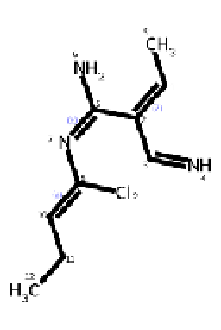 C\C=C(C=N)/C(N)=N\C(Cl)=C\CC